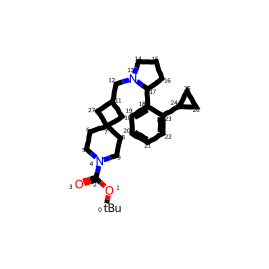 CC(C)(C)OC(=O)N1CCC2(CC1)CC(CN1CCCC1c1ccccc1C1CC1)C2